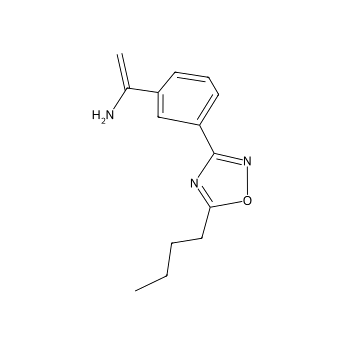 C=C(N)c1cccc(-c2noc(CCCC)n2)c1